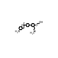 COCCc1cc(-c2ccc(C(F)(F)Oc3ccc(N)cc3F)cc2)ccc1OCCO